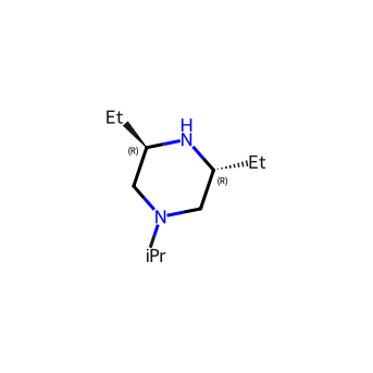 CC[C@@H]1CN(C(C)C)C[C@@H](CC)N1